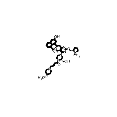 C#Cc1cccc2cc(O)cc(C3Cc4nc(OC[C@@H]5CCCN5C)nc(N5CCN(C(=O)/C=C/CN6CCC(OC)CC6)[C@@H](CO)C5)c4CO3)c12